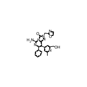 Cc1cc(-c2c(-c3ccccc3)nc(N)n3c(=O)n(Cc4ncco4)nc23)cc(CO)n1